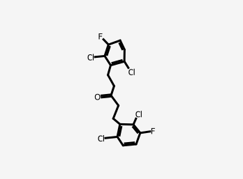 O=C(CCc1c(Cl)ccc(F)c1Cl)CCc1c(Cl)ccc(F)c1Cl